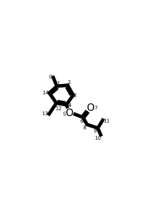 Cc1ccc(OC(=O)CC(C)C)c(C)c1